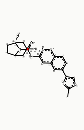 Cc1ncc(-c2ccc3nnc(NC(=O)N4C5CC[C@H]4CC(N)C5)cc3c2)o1